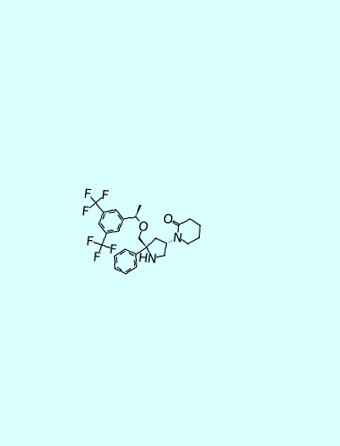 C[C@@H](OC[C@@]1(c2ccccc2)C[C@H](N2CCCCC2=O)CN1)c1cc(C(F)(F)F)cc(C(F)(F)F)c1